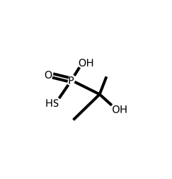 CC(C)(O)P(=O)(O)S